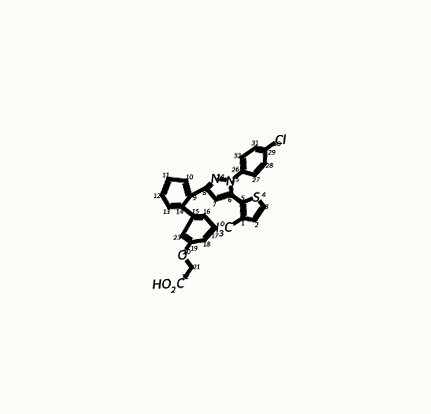 Cc1ccsc1-c1cc(-c2ccccc2-c2cccc(OCC(=O)O)c2)nn1-c1ccc(Cl)cc1